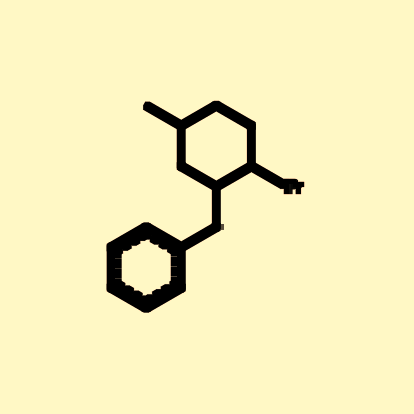 CC1CCC(C(C)C)C([CH]c2ccccc2)C1